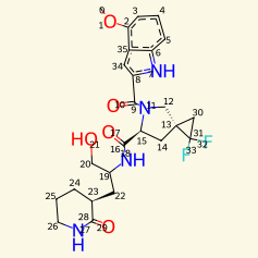 COc1cccc2[nH]c(C(=O)N3C[C@]4(C[C@H]3C(=O)NC(CO)C[C@@H]3CCCNC3=O)CC4(F)F)cc12